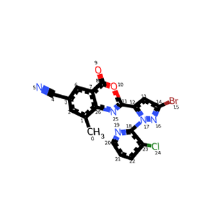 Cc1cc(C#N)cc2c(=O)oc(-c3cc(Br)nn3-c3ncccc3Cl)nc12